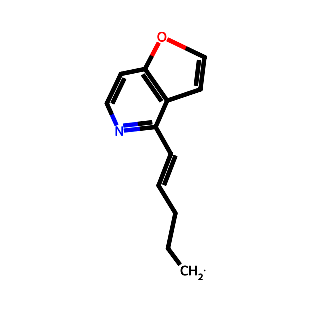 [CH2]CCC=Cc1nccc2occc12